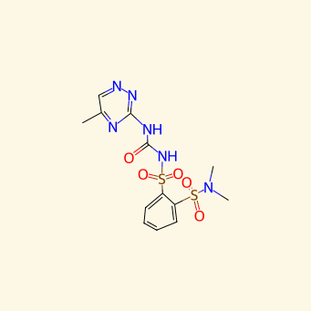 Cc1cnnc(NC(=O)NS(=O)(=O)c2ccccc2S(=O)(=O)N(C)C)n1